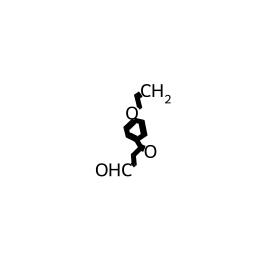 C=CCOc1ccc(C(=O)CCC=O)cc1